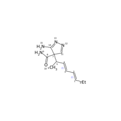 CC/C=C/C=C/C(C)C1(C(N)=O)C=NN=C1N